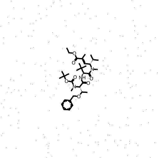 CCOC(=O)/C(C)=C/[C@H](C(C)C)N(C)C(=O)[C@@H](NC(=O)[C@H](C(C)OCc1ccccc1)N(C)C(=O)OC(C)(C)C)C(C)(C)C